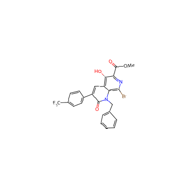 COC(=O)c1nc(Br)c2c(cc(-c3ccc(C(F)(F)F)cc3)c(=O)n2Cc2ccccc2)c1O